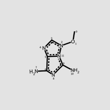 COn1cnc2c(N)nc(N)n21